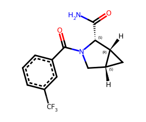 NC(=O)[C@@H]1[C@@H]2C[C@@H]2CN1C(=O)c1cccc(C(F)(F)F)c1